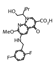 COc1nc2c(cc1NCc1cc(F)ccc1F)c(=O)c(C(=O)O)cn2C(CO)C(C)C